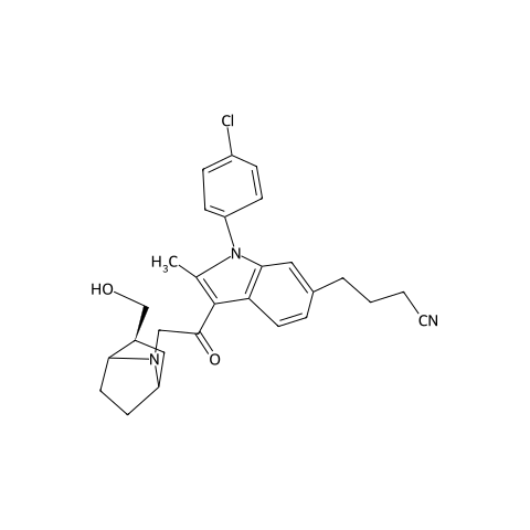 Cc1c(C(=O)CN2C3CCC2[C@@H](CO)C3)c2ccc(CCCC#N)cc2n1-c1ccc(Cl)cc1